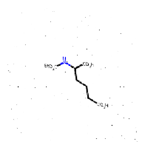 CCOC(=O)NC(CCCC(=O)O)C(=O)O